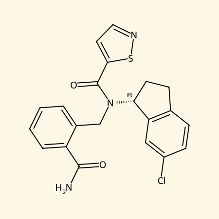 NC(=O)c1ccccc1CN(C(=O)c1ccns1)[C@@H]1CCc2ccc(Cl)cc21